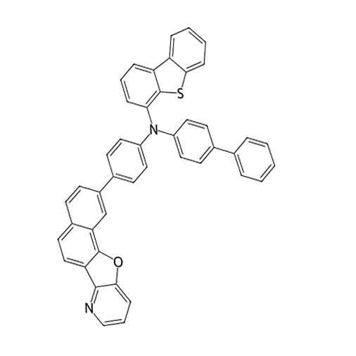 c1ccc(-c2ccc(N(c3ccc(-c4ccc5ccc6c7ncccc7oc6c5c4)cc3)c3cccc4c3sc3ccccc34)cc2)cc1